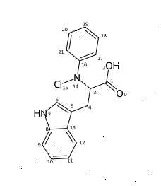 O=C(O)C(Cc1c[nH]c2ccccc12)N(Cl)c1ccccc1